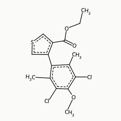 CCOC(=O)c1cscc1-c1c(C)c(Cl)c(OC)c(Cl)c1C